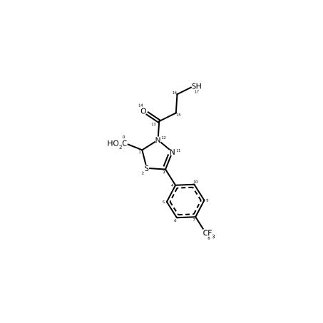 O=C(O)C1SC(c2ccc(C(F)(F)F)cc2)=NN1C(=O)CCS